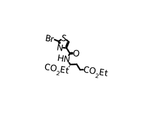 CCOC(=O)CC[C@@H](NC(=O)c1csc(Br)n1)C(=O)OCC